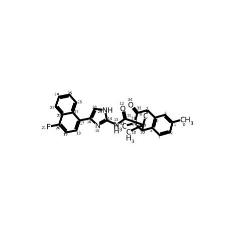 Cc1ccc2c(c1)C1CC(C)(C(=O)Nc3nc(-c4ccc(F)c5ccccc45)c[nH]3)C2N(C)C1=O